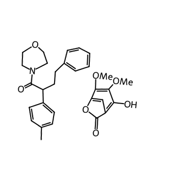 COc1c2cc(c(O)c1OC)C(=O)O2.Cc1ccc(C(CCc2ccccc2)C(=O)N2CCOCC2)cc1